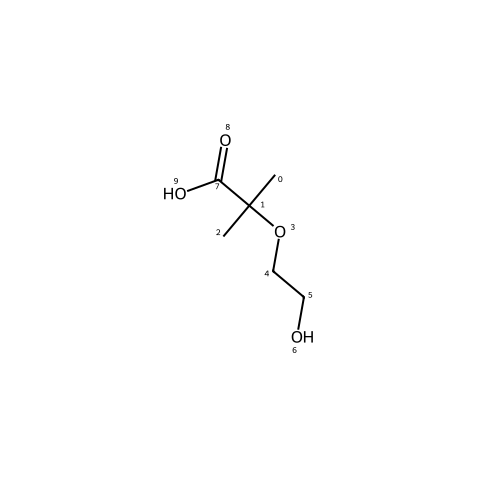 CC(C)(OCCO)C(=O)O